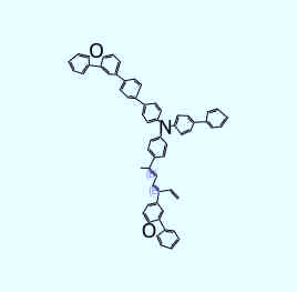 C=C/C(=C\C=C(/C)c1ccc(N(c2ccc(-c3ccccc3)cc2)c2ccc(-c3ccc(-c4ccc5oc6ccccc6c5c4)cc3)cc2)cc1)c1ccc2oc3ccccc3c2c1